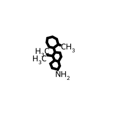 CCC1C2CC[C@@H](N)CC2CCC1C1C(C)CCCCC1C